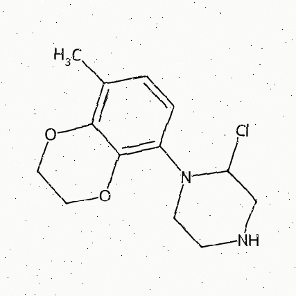 Cc1ccc(N2CCNCC2Cl)c2c1OCCO2